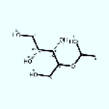 CC(O)OC(CO)[C@@H](O)[C@H](O)CO